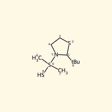 CC(C)(C)C1SCCN1S(C)(C)S